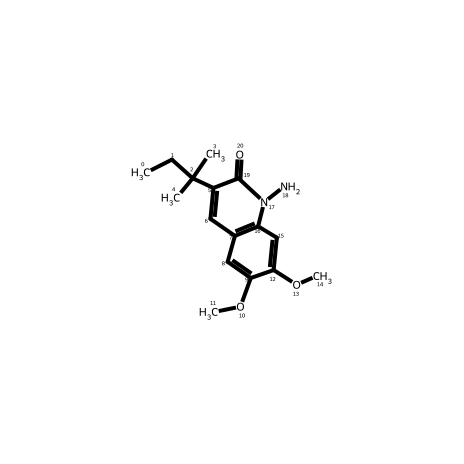 CCC(C)(C)c1cc2cc(OC)c(OC)cc2n(N)c1=O